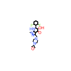 Cn1nc(CN2CCN(C3COC3)CC2)c2c(=O)c(O)c(-c3c(F)cccc3F)[nH]c21